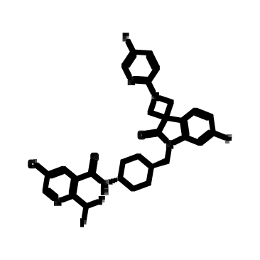 O=C(N[C@H]1CC[C@H](CN2C(=O)C3(CN(c4ccc(F)cn4)C3)c3ccc(F)cc32)CC1)c1cc(Cl)cnc1C(F)F